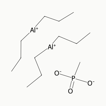 CC[CH2][Al+][CH2]CC.CC[CH2][Al+][CH2]CC.CP(=O)([O-])[O-]